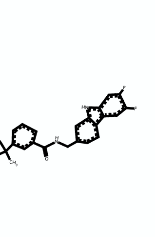 CC(C)(N)c1cccc(C(=O)NCc2ccc3c(c2)[nH]c2cc(F)c(F)cc23)c1